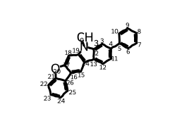 Cn1c2cc(-c3ccccc3)ccc2c2cc3c(cc21)oc1ccccc13